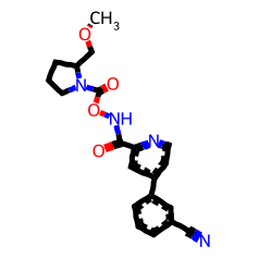 COCC1CCCN1C(=O)ONC(=O)c1cc(-c2cccc(C#N)c2)ccn1